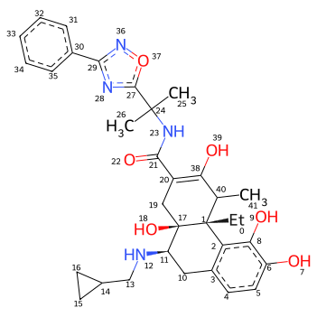 CC[C@@]12c3c(ccc(O)c3O)C[C@@H](NCC3CC3)[C@]1(O)CC(C(=O)NC(C)(C)c1nc(-c3ccccc3)no1)=C(O)C2C